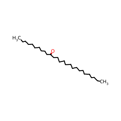 CCCCCCCCCCCCCCCCC(=O)CCCCCCCCCC